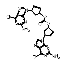 Nc1nc(Cl)c2ncn(C3C=CC(OC(=O)OC4C=CC(n5cnc6c(Cl)nc(N)nc65)C4)C3)c2n1